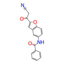 N#CCC(=O)c1cc2cc(NC(=O)c3ccccc3)ccc2o1